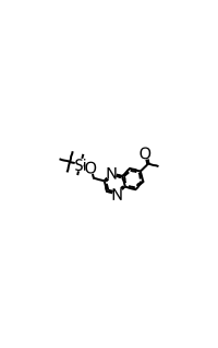 CC(=O)c1ccc2ncc(CO[Si](C)(C)C(C)(C)C)nc2c1